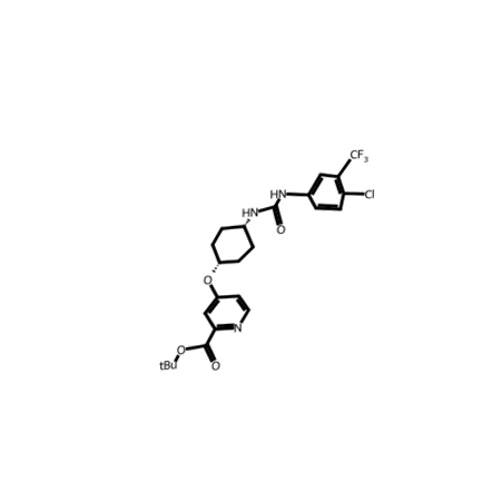 CC(C)(C)OC(=O)c1cc(O[C@H]2CC[C@@H](NC(=O)Nc3ccc(Cl)c(C(F)(F)F)c3)CC2)ccn1